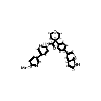 COc1ccc(-c2ccc(NC(=O)C3(c4ccc(-c5cnc6[nH]ccc6c5)cc4)CCOCC3)nc2)cn1